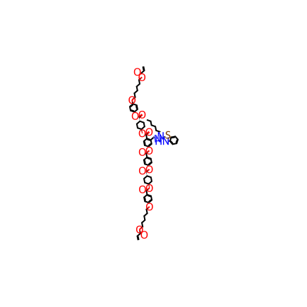 C=CC(=O)OCCCCCCOc1ccc(OC(=O)[C@H]2CC[C@H](OC(=O)c3ccc(OC(=O)c4ccc(OC(=O)[C@H]5CC[C@H](OC(=O)c6ccc(OCCCCCCOC(=O)C=C)cc6)CC5)cc4)cc3/C=N/N(CCCCCC)C3Nc4ccccc4S3)CC2)cc1